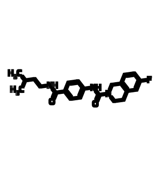 CC(C)CCNC(=O)c1ccc(NC(=O)N2CCc3cc(F)ccc3C2)cc1